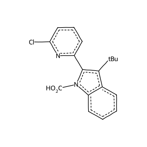 CC(C)(C)c1c(-c2cccc(Cl)n2)n(C(=O)O)c2ccccc12